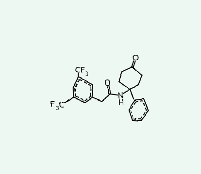 O=C1CCC(NC(=O)Cc2cc(C(F)(F)F)cc(C(F)(F)F)c2)(c2ccccc2)CC1